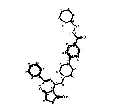 O=C(NOC1CCCCO1)c1cnc(N2CCN(CC(/C=C/c3ccccc3)N3C(=O)CCC3=O)CC2)nc1